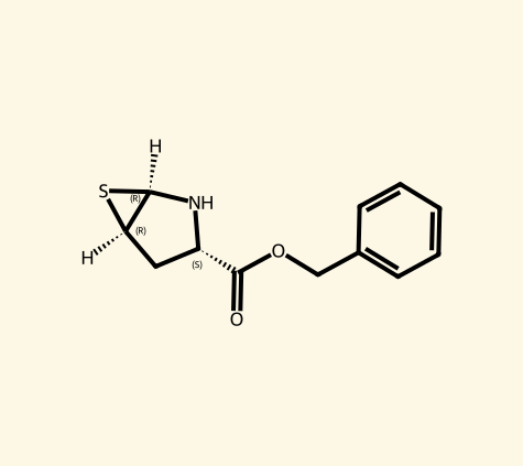 O=C(OCc1ccccc1)[C@@H]1C[C@H]2S[C@H]2N1